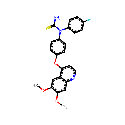 COc1cc2nccc(Oc3ccc(N(C(N)=S)c4ccc(F)cc4)cc3)c2cc1OC